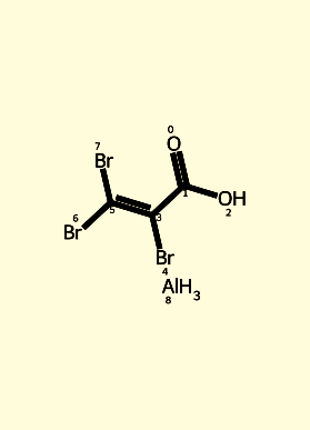 O=C(O)C(Br)=C(Br)Br.[AlH3]